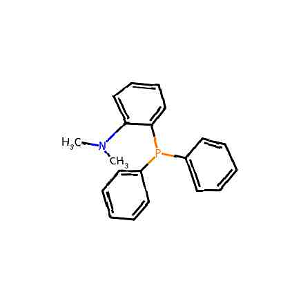 CN(C)c1ccccc1P(c1ccccc1)c1ccccc1